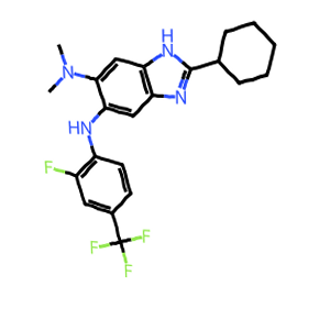 CN(C)c1cc2[nH]c(C3CCCCC3)nc2cc1Nc1ccc(C(F)(F)F)cc1F